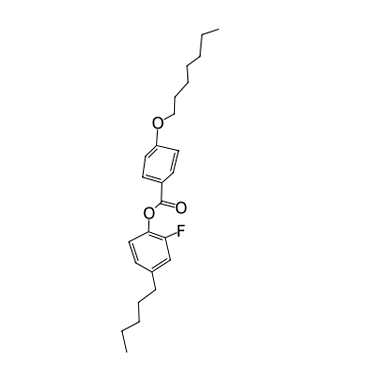 CCCCCCCOc1ccc(C(=O)Oc2ccc(CCCCC)cc2F)cc1